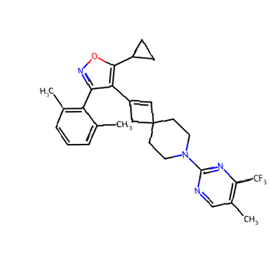 Cc1cnc(N2CCC3(C=C(c4c(-c5c(C)cccc5C)noc4C4CC4)C3)CC2)nc1C(F)(F)F